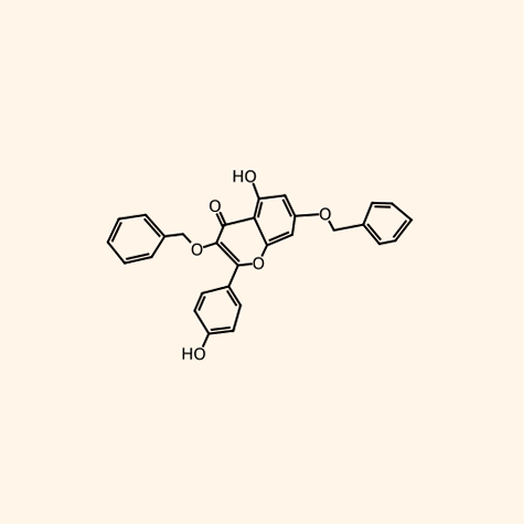 O=c1c(OCc2ccccc2)c(-c2ccc(O)cc2)oc2cc(OCc3ccccc3)cc(O)c12